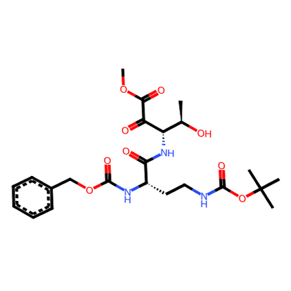 COC(=O)C(=O)[C@@H](NC(=O)[C@H](CCNC(=O)OC(C)(C)C)NC(=O)OCc1ccccc1)[C@@H](C)O